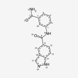 NC(=O)c1cccc(NC(=O)c2ccc3[nH]ncc3c2)c1